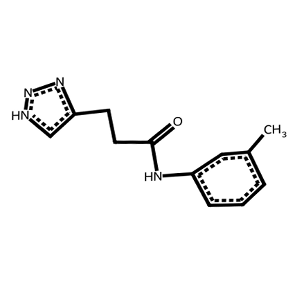 Cc1cccc(NC(=O)CCc2c[nH]nn2)c1